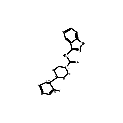 O=C(Nc1n[nH]c2ccccc12)N1CCC(c2ccccc2F)CC1